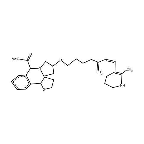 C=C(/C=C\C1=C(C)NCCC1)CCCCOC1CCN(C(C(=O)OC)c2ccccc2C2CCCO2)C1